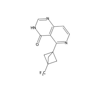 O=c1[nH]cnc2ccnc(C34CC(C(F)(F)F)(C3)C4)c12